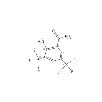 NC(=O)c1cc(C(F)(F)F)cc(C(F)(F)F)c1N